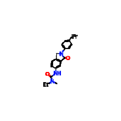 CCN(C)C(=O)Nc1ccc2c(c1)C(=O)N(c1ccc(C(C)C)cc1)C2